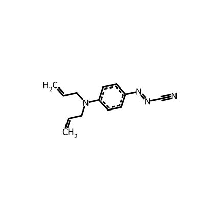 C=CCN(CC=C)c1ccc(/N=N/C#N)cc1